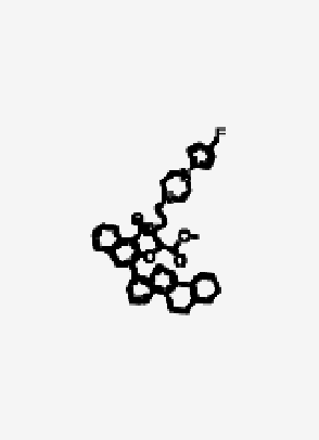 COC(=O)C(CCCN1CCN(c2ccc(F)cc2)CC1)Oc1c(-c2cccc3c4c(ccc23)C2=C(CCC=C2)CC4)cc2ccccc2c1[N+](=O)[O-]